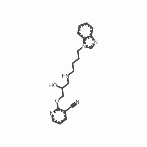 N#Cc1cccnc1OCC(O)CNCCCCn1cnc2ccccc21